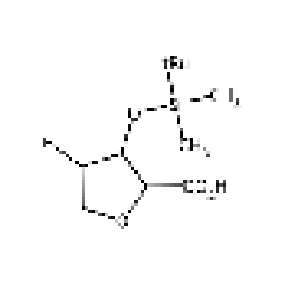 CC(C)(C)[Si](C)(C)OC1C(F)COC1C(=O)O